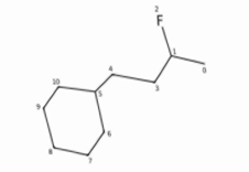 CC(F)CCC1CCCCC1